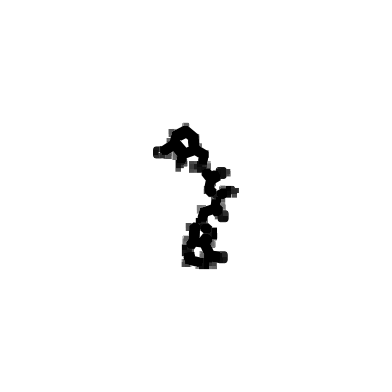 CC(C)N(CC(=O)NCc1cccc(Cl)c1F)C(=O)Cn1cc2nc[nH]c(=O)c2n1